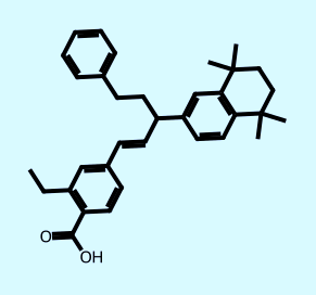 CCc1cc(/C=C/C(CCc2ccccc2)c2ccc3c(c2)C(C)(C)CCC3(C)C)ccc1C(=O)O